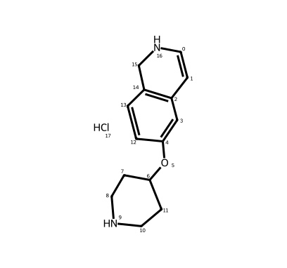 C1=Cc2cc(OC3CCNCC3)ccc2CN1.Cl